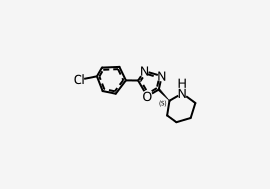 Clc1ccc(-c2nnc([C@@H]3CCCCN3)o2)cc1